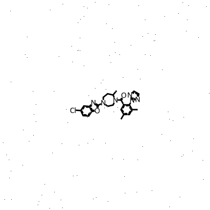 Cc1cc(C)c(-n2nccn2)c(C(=O)N2CCN(c3nc4cc(Cl)ccc4o3)CCC2C)c1